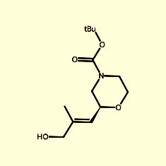 C/C(=C\[C@H]1CN(C(=O)OC(C)(C)C)CCO1)CO